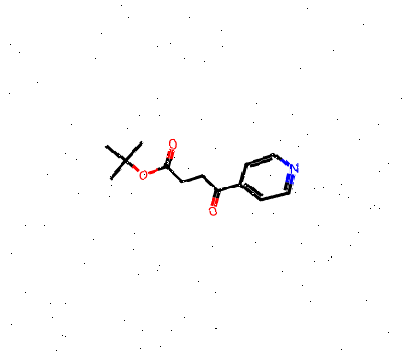 CC(C)(C)OC(=O)CCC(=O)c1ccncc1